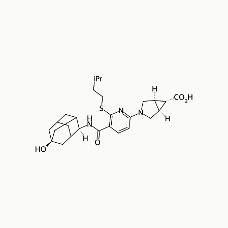 CC(C)CCSc1nc(N2C[C@@H]3[C@H](C2)[C@H]3C(=O)O)ccc1C(=O)N[C@H]1C2CC3CC1C[C@@](O)(C3)C2